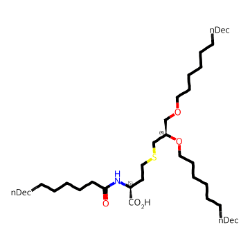 CCCCCCCCCCCCCCCCOC[C@H](CSCC[C@H](NC(=O)CCCCCCCCCCCCCCC)C(=O)O)OCCCCCCCCCCCCCCCC